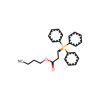 N#CCCCOC(=O)CC=P(c1ccccc1)(c1ccccc1)c1ccccc1